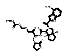 COc1cccc2[nH]c(C(=O)N3C[C@@H]4CCC[C@@H]4[C@H]3C(=O)N[C@@H](C[C@@H]3CCNC3=O)C(=O)COCOC(=O)OC(C)C)cc12